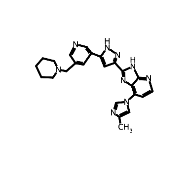 Cc1cn(-c2ccnc3[nH]c(-c4cc(-c5cncc(CN6CCCCC6)c5)[nH]n4)nc23)cn1